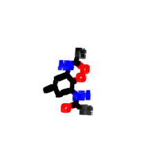 C=C1C=C(NC(=O)CC)C(=O)C(NC(=O)CC)=C1